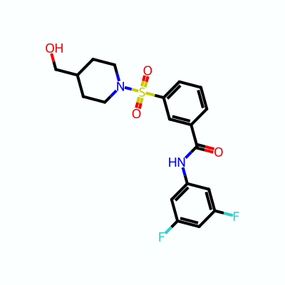 O=C(Nc1cc(F)cc(F)c1)c1cccc(S(=O)(=O)N2CCC(CO)CC2)c1